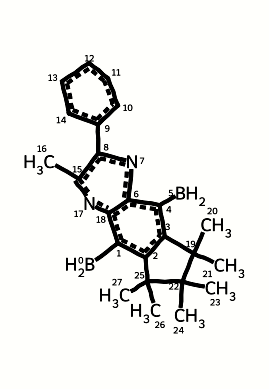 Bc1c2c(c(B)c3nc(-c4ccccc4)c(C)nc13)C(C)(C)C(C)(C)C2(C)C